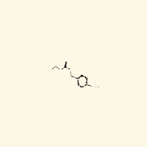 COc1ccc(CSC(=S)SCC#N)cc1